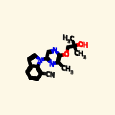 Cc1nc(-n2ccc3cccc(C#N)c32)cnc1OCC(C)(C)O